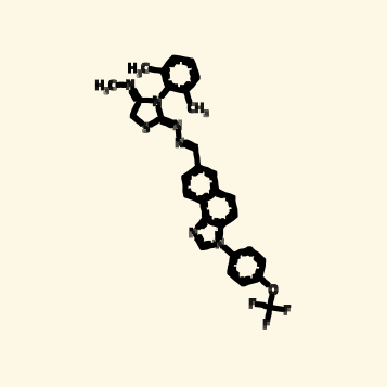 C/N=C1\CS/C(=N\N=C\c2ccc3c(ccc4c3ncn4-c3ccc(OC(F)(F)F)cc3)c2)N1c1c(C)cccc1C